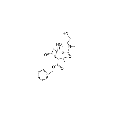 CN(CCO)C(=O)[S@]1(CO)[C@@H]2CC(=O)N2[C@@H](C(=O)OCc2ccccc2)C1(C)C